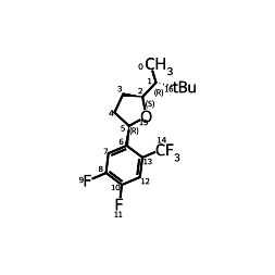 C[C@@H]([C@@H]1CC[C@H](c2cc(F)c(F)cc2C(F)(F)F)O1)C(C)(C)C